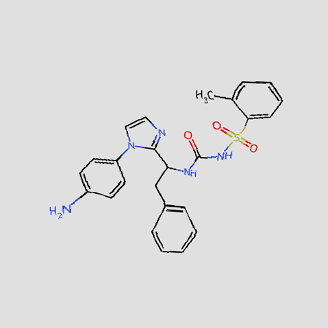 Cc1ccccc1S(=O)(=O)NC(=O)NC(Cc1ccccc1)c1nccn1-c1ccc(N)cc1